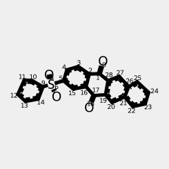 O=C1c2ccc(S(=O)(=O)c3ccccc3)cc2C(=O)c2cc3ccccc3cc21